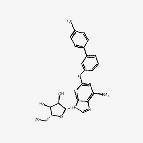 Nc1nc(Oc2cccc(-c3ccc(C(F)(F)F)cc3)c2)nc2c1ncn2[C@@H]1O[C@H](CO)[C@@H](O)[C@H]1O